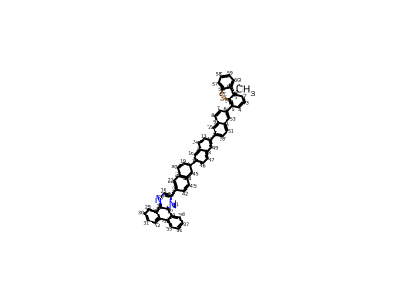 CC12CC=CC(c3ccc4cc(-c5ccc6cc(C7C=Cc8cc(-c9cnc%10c%11ccccc%11c%11ccccc%11c%10n9)ccc8C7)ccc6c5)ccc4c3)=C1Sc1ccccc12